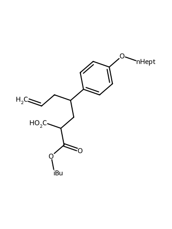 C=CCC(CC(C(=O)O)C(=O)OC(C)CC)c1ccc(OCCCCCCC)cc1